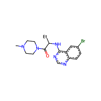 CCC(Nc1ncnc2ccc(Br)cc12)C(=O)N1CCN(C)CC1